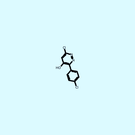 Oc1cc(Cl)nnc1-c1ccc(Cl)cc1